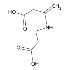 C=C(CC(=O)O)NCCC(=O)O